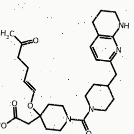 CC(=O)CC/C=C/OC1(CC(=O)O)CCN(C(=O)N2CCC(Cc3ccc4c(n3)NCCC4)CC2)CC1